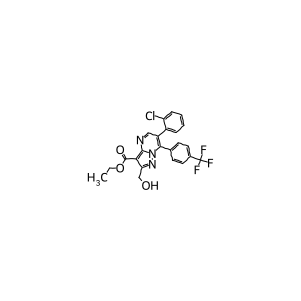 CCOC(=O)c1c(CO)nn2c(-c3ccc(C(F)(F)F)cc3)c(-c3ccccc3Cl)cnc12